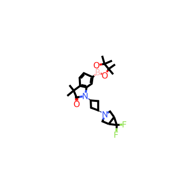 CC1(C)C(=O)N([C@H]2C[C@@H](N3CC4C(C3)C4(F)F)C2)c2cc(B3OC(C)(C)C(C)(C)O3)ccc21